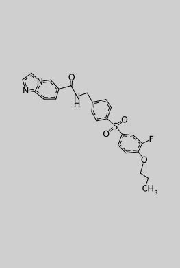 CCCOc1ccc(S(=O)(=O)c2ccc(CNC(=O)c3ccc4nccn4c3)cc2)cc1F